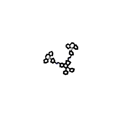 C1=CC2C=Cc3ccccc3N(c3ccc(/C=C/c4ccc5c(-c6ccccc6)c(-c6ccccc6)c6ccc(/C=C/c7ccc(N8C9=C(C=Cc%10ccccc%108)CCC=C9)cc7)cc6c5c4)cc3)C2C=C1